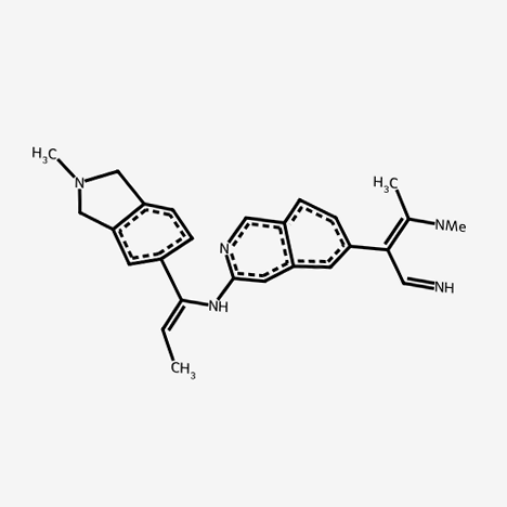 C/C=C(\Nc1cc2cc(/C(C=N)=C(\C)NC)ccc2cn1)c1ccc2c(c1)CN(C)C2